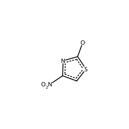 [O]c1nc([N+](=O)[O-])cs1